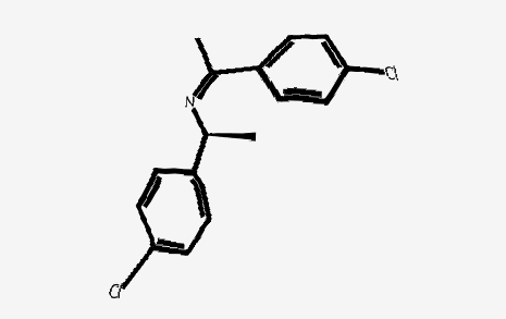 C/C(=N/[C@@H](C)c1ccc(Cl)cc1)c1ccc(Cl)cc1